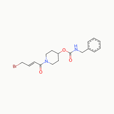 O=C(NCc1ccccc1)OC1CCN(C(=O)/C=C/CBr)CC1